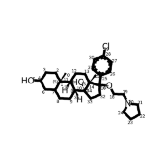 C[C@]12CCC(O)CC1CC[C@@H]1[C@H]2CC[C@]2(C)C(OCCN3CCCC3)(c3ccc(Cl)cc3)CC[C@@]12O